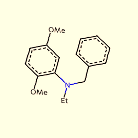 CCN(Cc1ccccc1)c1cc(OC)ccc1OC